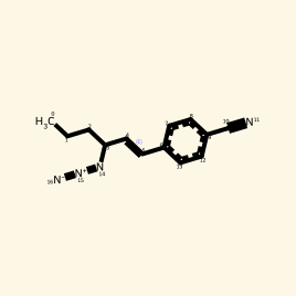 CCCC(/C=C/c1ccc(C#N)cc1)N=[N+]=[N-]